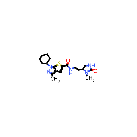 Cc1nn(C2CCCCC2)c2sc(C(=O)NCCC3CNC(=O)N3C)cc12